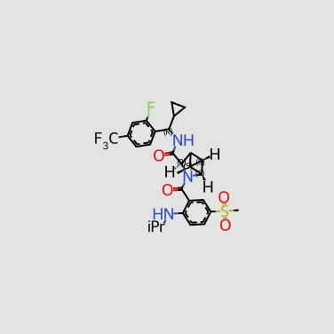 CC(C)Nc1ccc(S(C)(=O)=O)cc1C(=O)N1[C@H]2[C@H]3C([C@@H]1C(=O)N[C@@H](c1ccc(C(F)(F)F)cc1F)C1CC1)[C@]32C